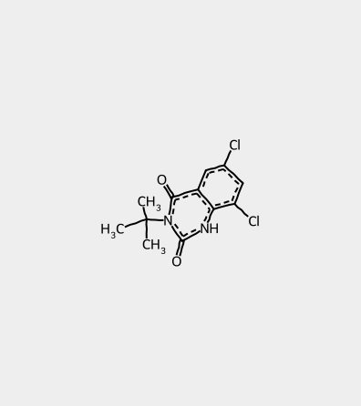 CC(C)(C)n1c(=O)[nH]c2c(Cl)cc(Cl)cc2c1=O